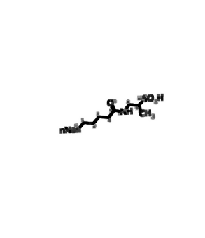 CCCCCCCCCCCCCC(=O)NCC(C)S(=O)(=O)O